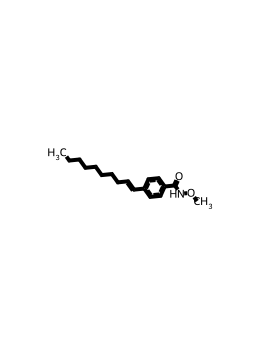 CCCCCCCCC=Cc1ccc(C(=O)NOC)cc1